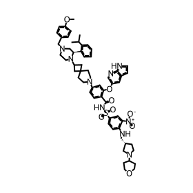 COc1ccc(CN2CCN(C3CC4(CCN(c5ccc(C(=O)NS(=O)(=O)c6ccc(NC[C@@H]7CCN(C8CCOCC8)C7)c([N+](=O)[O-])c6)c(Oc6cnc7[nH]ccc7c6)c5)CC4)C3)[C@H](c3ccccc3C(C)C)C2)cc1